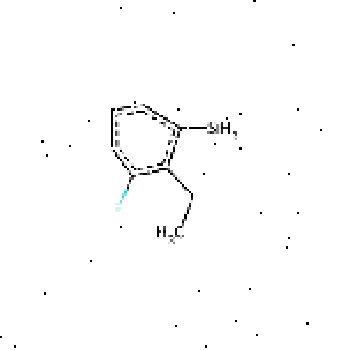 CCc1c(F)cccc1[SiH3]